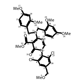 COCc1cc(Cl)c(-n2cnc(N(Cc3ccc(OC)cc3OC)Cc3ccc(OC)cc3OC)c(C(=O)OC)c2=O)c(Cl)c1